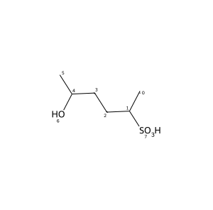 [CH2]C(CCC(C)O)S(=O)(=O)O